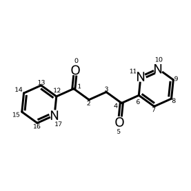 O=C(CCC(=O)c1cccnn1)c1ccccn1